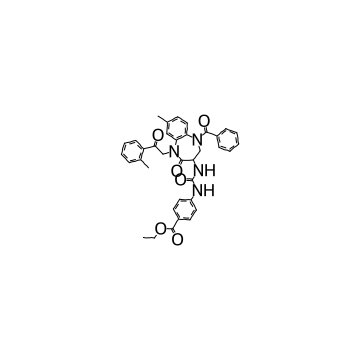 CCOC(=O)c1ccc(NC(=O)NC2CN(C(=O)c3ccccc3)c3ccc(C)cc3N(CC(=O)c3ccccc3C)C2=O)cc1